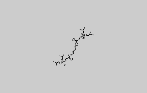 CC(C)COP(=S)(CCC(=O)OCCCCOC(=O)CCP(=S)(OCC(C)C)OCC(C)C)OCC(C)C